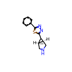 c1ccc(-c2nnc(C3[C@H]4CNC[C@@H]34)s2)cc1